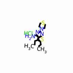 CCCc1sc2nc(N3CCSCC3)nc(N)c2c1CCC.Cl